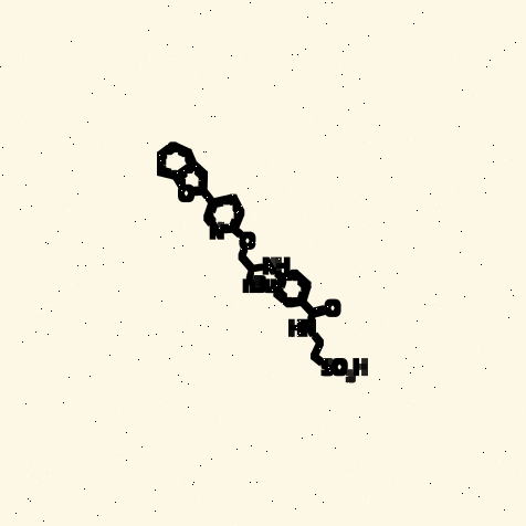 CCCC[C@@H](COc1ccc(-c2cc3ccccc3o2)cn1)Nc1ccc(C(=O)NCCS(=O)(=O)O)cc1